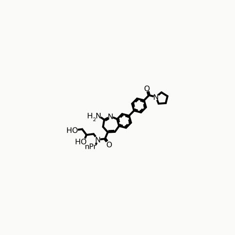 CCCN(CC(O)CO)C(=O)C1=Cc2ccc(-c3ccc(C(=O)N4CCCC4)cc3)cc2N=C(N)C1